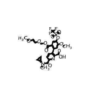 COCCOCOC(=O)c1cc(OS(=O)(=O)C(F)(F)F)c(OC)cc1-c1ccc(C(=O)N(C)C2CC2)nc1C(=O)O